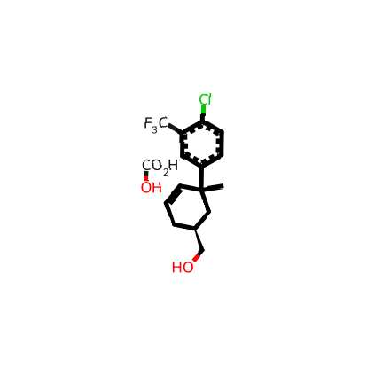 CC1(c2ccc(Cl)c(C(F)(F)F)c2)C=CC[C@H](CO)C1.O=C(O)O